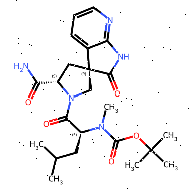 CC(C)C[C@@H](C(=O)N1C[C@]2(C[C@H]1C(N)=O)C(=O)Nc1ncccc12)N(C)C(=O)OC(C)(C)C